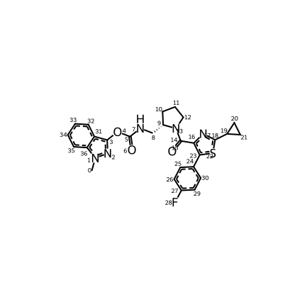 Cn1nc(OC(=O)NC[C@@H]2CCCN2C(=O)c2nc(C3CC3)sc2-c2ccc(F)cc2)c2ccccc21